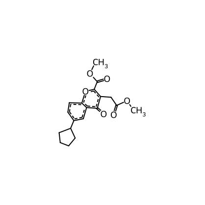 COC(=O)Cc1c(C(=O)OC)oc2ccc(C3CCCC3)cc2c1=O